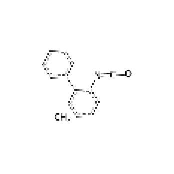 C.O=C=Nc1ccccc1-c1ccccc1